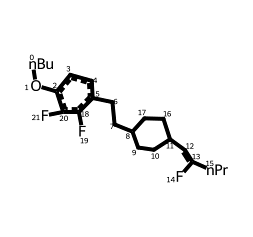 CCCCOc1ccc(CCC2CCC(/C=C(\F)CCC)CC2)c(F)c1F